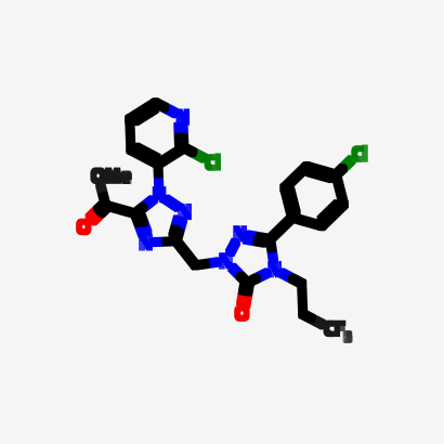 COC(=O)c1nc(Cn2nc(-c3ccc(Cl)cc3)n(CCC(F)(F)F)c2=O)nn1-c1cccnc1Cl